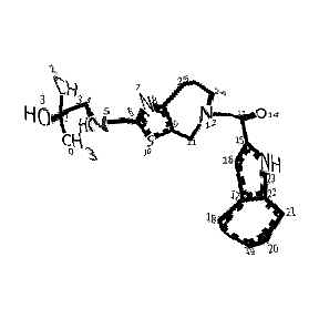 CC(C)(O)CNc1nc2c(s1)CN(C(=O)c1cc3ccccc3[nH]1)CC2